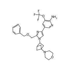 Nc1ncc(-c2cn(C3CC4(N5CCOCC5)CC3C4)c(COCc3ccccc3)n2)cc1OC(F)(F)F